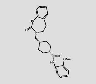 COc1ccccc1NC(=O)[C@H]1CC[C@H](CN2CCc3ccccc3NC2=O)CC1